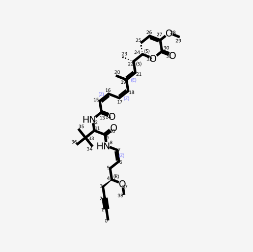 CC#CC[C@@H](C/C=C\NC(=O)C(NC(=O)\C=C/C=C\C(C)=C\[C@H](C)[C@@H]1CC=C(OC)C(=O)O1)C(C)(C)C)OC